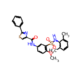 COc1ccc(NC(=O)c2csc(-c3ccccc3)n2)cc1S(=O)(=O)Nc1c(C)cccc1C